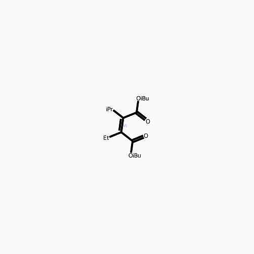 CC/C(C(=O)OCC(C)C)=C(/C(=O)OCC(C)C)C(C)C